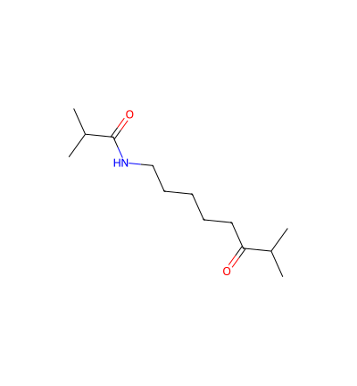 CC(C)C(=O)CCCCCNC(=O)C(C)C